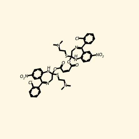 CN(C)CCSC1(OC(=O)/C=C\C(=O)OC2(SCCN(C)C)CN=C(c3ccccc3Cl)c3cc([N+](=O)[O-])ccc3N2)CN=C(c2ccccc2Cl)c2cc([N+](=O)[O-])ccc2N1